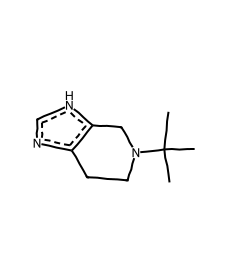 CC(C)(C)N1CCc2nc[nH]c2C1